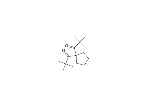 CC(C)(C)C(=O)C1(C(=O)C(C)(C)C)CCCC1